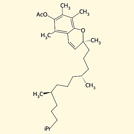 CC(=O)Oc1c(C)c(C)c2c(c1C)C=C[C@](C)(CCC[C@H](C)CCC[C@H](C)CCCC(C)C)O2